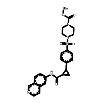 CC(C)(C)OC(=O)N1CCN(S(=O)(=O)c2ccc(C3CC3C(=O)Nc3ccc4cnccc4c3)cc2)CC1